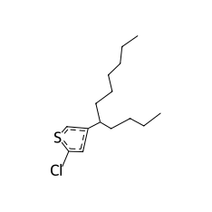 CCCCCCC(CCCC)c1csc(Cl)c1